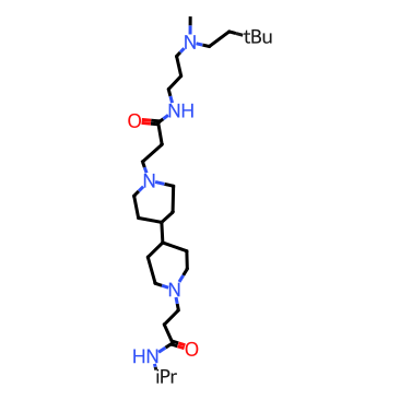 CC(C)NC(=O)CCN1CCC(C2CCN(CCC(=O)NCCCN(C)CCC(C)(C)C)CC2)CC1